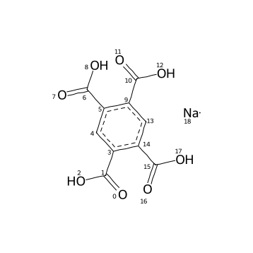 O=C(O)c1cc(C(=O)O)c(C(=O)O)cc1C(=O)O.[Na]